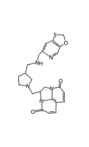 O=c1ccc2ccc(=O)n3c2n1CC3CN1CCC(CNCc2cc3c(cn2)OCS3)C1